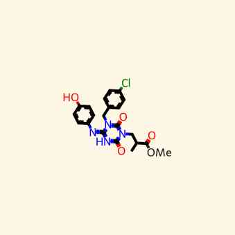 COC(=O)C(C)Cn1c(=O)[nH]c(=Nc2ccc(O)cc2)n(Cc2ccc(Cl)cc2)c1=O